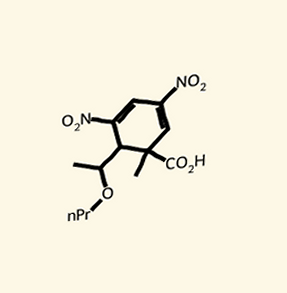 CCCOC(C)C1C([N+](=O)[O-])=CC([N+](=O)[O-])=CC1(C)C(=O)O